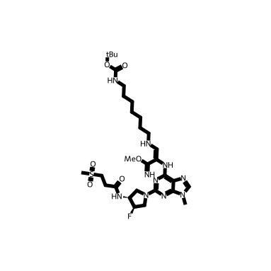 COC(=N)/C(=C\NCCCCCCCNC(=O)OC(C)(C)C)Nc1nc(N2C[C@@H](F)[C@H](NC(=O)CCS(C)(=O)=O)C2)nc2c1ncn2C